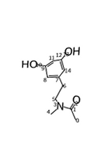 CC(=O)N(C)CCc1cc(O)cc(O)c1